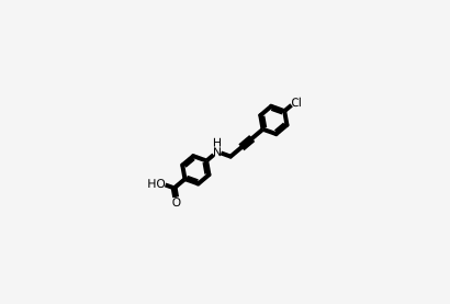 O=C(O)c1ccc(NCC#Cc2ccc(Cl)cc2)cc1